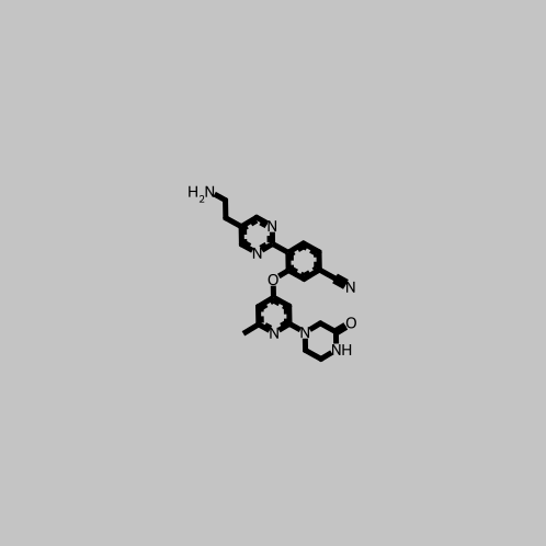 Cc1cc(Oc2cc(C#N)ccc2-c2ncc(CCN)cn2)cc(N2CCNC(=O)C2)n1